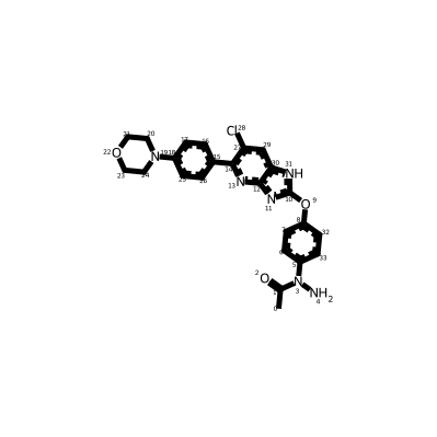 CC(=O)N(N)c1ccc(Oc2nc3nc(-c4ccc(N5CCOCC5)cc4)c(Cl)cc3[nH]2)cc1